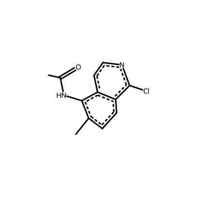 CC(=O)Nc1c(C)ccc2c(Cl)nccc12